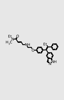 CCC(=C(c1ccc(OCCNCC=CC(=O)N(C)CC)cc1)c1ccc2[nH]ncc2c1)c1ccccc1